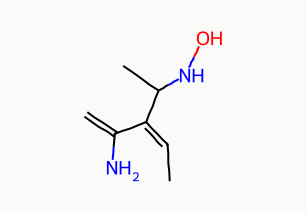 C=C(N)/C(=C\C)C(C)NO